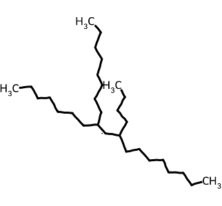 CCCCCCCCC([CH]C(CCCCCCC)CCCCCCCC)CCCC